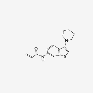 C=CC(=O)Nc1ccc2c(N3CCCCC3)csc2c1